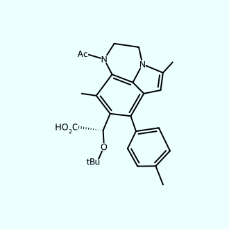 CC(=O)N1CCn2c(C)cc3c(-c4ccc(C)cc4)c([C@H](OC(C)(C)C)C(=O)O)c(C)c1c32